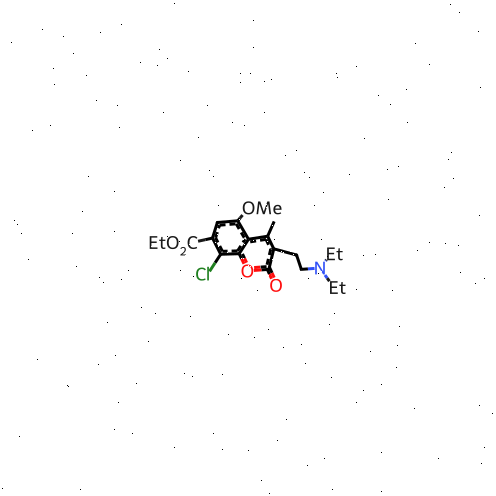 CCOC(=O)c1cc(OC)c2c(C)c(CCN(CC)CC)c(=O)oc2c1Cl